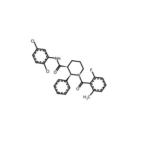 Cc1cccc(F)c1C(=O)N1CCC[C@H](C(=O)Nc2cc(Cl)ccc2Cl)[C@@H]1c1ccccc1